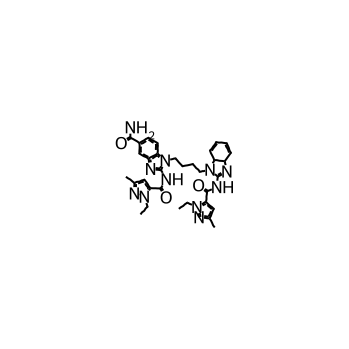 CCn1nc(C)cc1C(=O)NC1=NC2C=CC=CC2N1CCCCn1c(NC(=O)c2cc(C)nn2CC)nc2cc(C(N)=O)ccc21